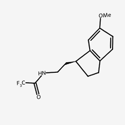 COc1ccc2c(c1)[C@H](CCNC(=O)C(F)(F)F)CC2